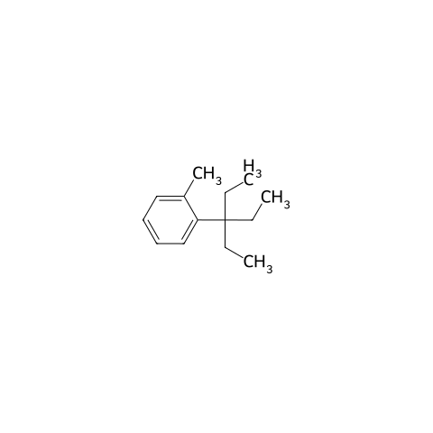 CCC(CC)(CC)c1ccccc1C